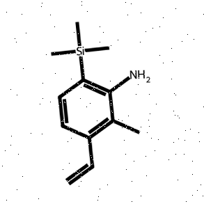 C=Cc1ccc([Si](C)(C)C)c(N)c1C